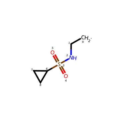 [CH2]CNS(=O)(=O)C1CC1